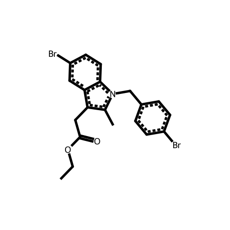 CCOC(=O)Cc1c(C)n(Cc2ccc(Br)cc2)c2ccc(Br)cc12